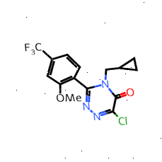 COc1cc(C(F)(F)F)ccc1-c1nnc(Cl)c(=O)n1CC1CC1